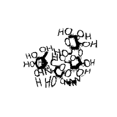 C[C@H]1O[C@H](O[C@H]2[C@H](O)[C@@H](O)[C@@H](O[C@H]3[C@H](O)[C@@H](O)[C@H](O)O[C@@H]3CO)O[C@@H]2CO)[C@H](O)[C@@H](O)[C@@H]1N[C@H]1C=C(CO)[C@@H](O)[C@H](O)[C@H]1O.[N-]=[N+]=[N-]